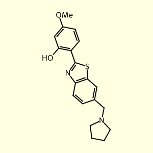 COc1ccc(-c2nc3ccc(CN4CCCC4)cc3s2)c(O)c1